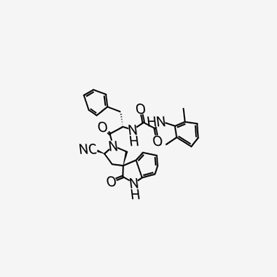 Cc1cccc(C)c1NC(=O)C(=O)N[C@@H](Cc1ccccc1)C(=O)N1C[C@]2(C[C@H]1C#N)C(=O)Nc1ccccc12